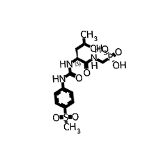 CC(C)C[C@H](NC(=O)Nc1ccc(S(C)(=O)=O)cc1)C(=O)NCP(=O)(O)O